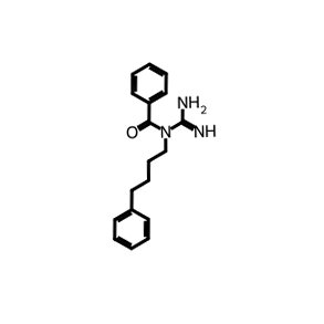 N=C(N)N(CCCCc1ccccc1)C(=O)c1ccccc1